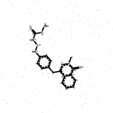 Cn1nc(Cc2ccc(NSNC(=O)OC(C)(C)C)cc2)c2ccccc2c1=O